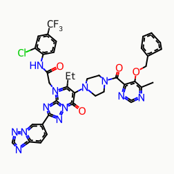 CCc1c(N2CCN(C(=O)c3ncnc(C)c3OCc3ccccc3)CC2)c(=O)n2nc(-c3ccc4ncnn4c3)nc2n1CC(=O)Nc1ccc(C(F)(F)F)cc1Cl